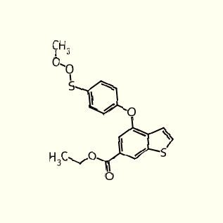 CCOC(=O)c1cc(Oc2ccc(SOOC)cc2)c2ccsc2c1